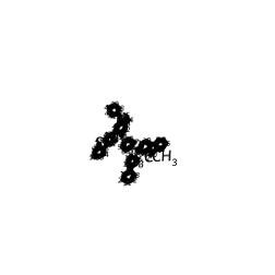 CC1(C)c2ccccc2-c2ccc(N(c3ccc(-c4ccccc4)cc3)c3ccc(-n4c5cc6ccn(-c7ccccc7)c6cc5c5cc6sc7ccccc7c6cc54)cc3)cc21